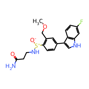 COCc1cc(-c2c[nH]c3cc(F)ccc23)ccc1[S+]([O-])NCCC(N)=O